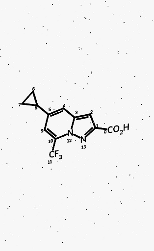 O=C(O)c1cc2cc(C3CC3)cc(C(F)(F)F)n2n1